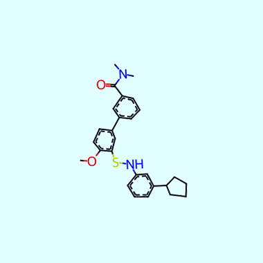 COc1ccc(-c2cccc(C(=O)N(C)C)c2)cc1SNc1cccc(C2CCCC2)c1